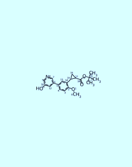 COc1ccc(-c2cncc(O)c2)cc1C1CC1C(=O)OC(C)(C)C